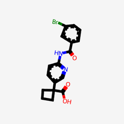 O=C(Nc1ccc(C2(C(=O)O)CCC2)cn1)c1cccc(Br)c1